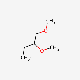 [CH2]CC(COC)OC